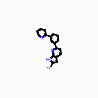 CC(C)(C)c1cc2ccc(-c3cccc(-c4ccccn4)c3)nc2[nH]1